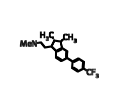 CNCCC1c2ccc(-c3ccc(C(F)(F)F)cc3)cc2C(C)[C@H]1C